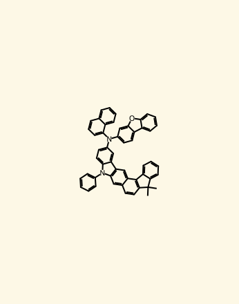 CC1(C)c2ccccc2-c2c1ccc1cc3c(cc21)c1cc(N(c2ccc4c(c2)oc2ccccc24)c2cccc4ccccc24)ccc1n3-c1ccccc1